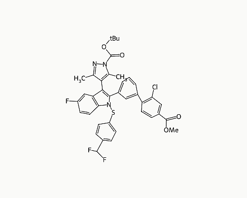 COC(=O)c1ccc(-c2cccc(-c3c(-c4c(C)nn(C(=O)OC(C)(C)C)c4C)c4cc(F)ccc4n3Sc3ccc(C(F)F)cc3)c2)c(Cl)c1